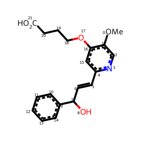 COc1cnc(C=CC(O)c2ccccc2)cc1OCCCC(=O)O